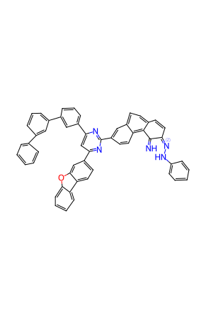 N=C1/C(=N\Nc2ccccc2)C=Cc2ccc3cc(-c4nc(-c5cccc(-c6cccc(-c7ccccc7)c6)c5)cc(-c5ccc6c(c5)oc5ccccc56)n4)ccc3c21